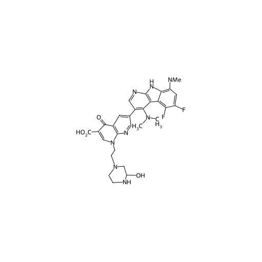 CNc1cc(F)c(F)c2c1[nH]c1ncc(-c3cnc4c(c3)c(=O)c(C(=O)O)cn4CCN3CCNC(O)C3)c(N(C)C)c12